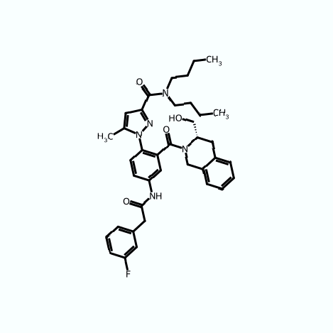 CCCCN(CCCC)C(=O)c1cc(C)n(-c2ccc(NC(=O)Cc3cccc(F)c3)cc2C(=O)N2Cc3ccccc3C[C@H]2CO)n1